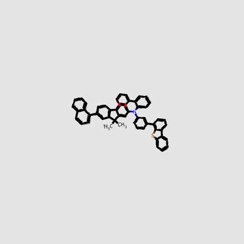 CC1(C)c2cc(-c3cccc4ccccc34)ccc2-c2ccc(N(c3cccc(-c4cccc5c4sc4ccccc45)c3)c3ccccc3-c3ccccc3)cc21